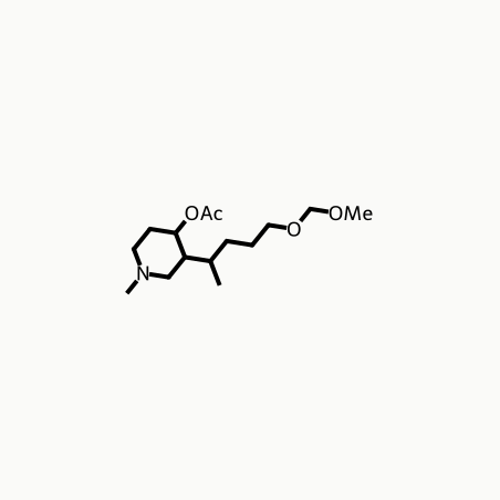 COCOCCCC(C)C1CN(C)CCC1OC(C)=O